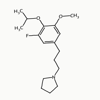 COc1cc(CCCN2CCCC2)cc(F)c1OC(C)C